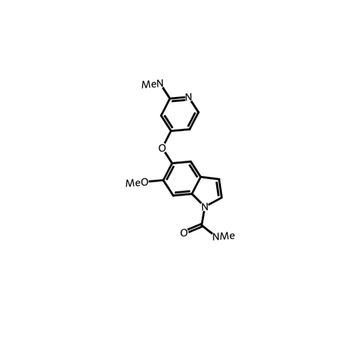 CNC(=O)n1ccc2cc(Oc3ccnc(NC)c3)c(OC)cc21